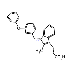 CC1=C(CCC(=O)O)c2ccccc2/C1=C\c1cccc(Oc2ccccc2)c1